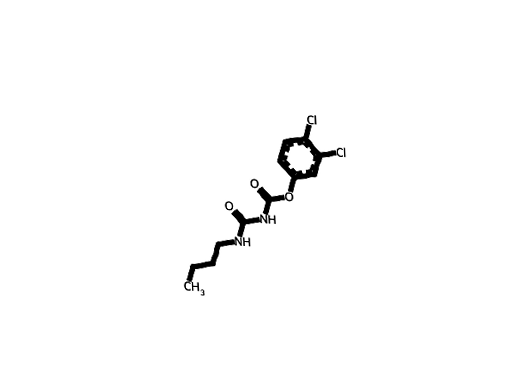 CCCCNC(=O)NC(=O)Oc1ccc(Cl)c(Cl)c1